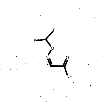 [NH]C(=O)/C=N\OC(F)F